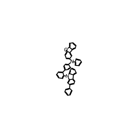 c1ccc(-c2ccc3c4ccccc4n(-c4ccccc4-c4ccc(N(c5ccccc5)c5ccc6oc7ccccc7c6c5)cc4)c3c2)cc1